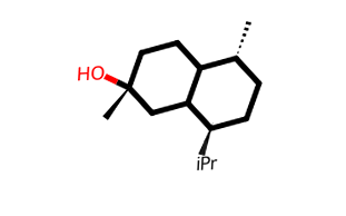 CC(C)[C@@H]1CC[C@@H](C)C2CC[C@@](C)(O)CC21